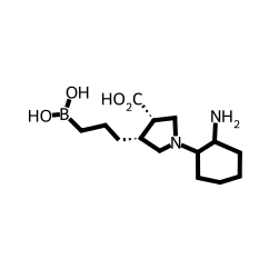 NC1CCCCC1N1C[C@H](CCCB(O)O)[C@H](C(=O)O)C1